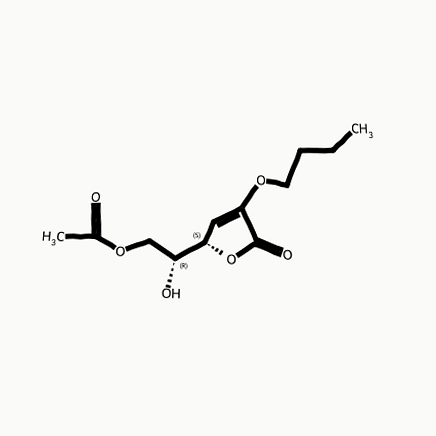 CCCCOC1=C[C@@H]([C@H](O)COC(C)=O)OC1=O